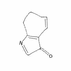 O=C1C=NC2=C1C=CCC2